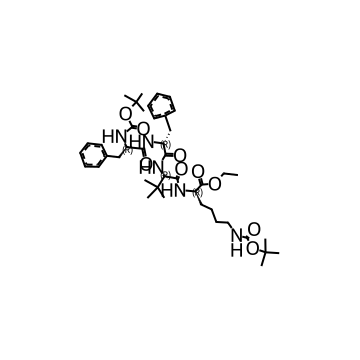 CCOC(=O)[C@@H](CCCCNC(=O)OC(C)(C)C)NC(=O)[C@H](NC(=O)[C@@H](Cc1ccccc1)NC(=O)[C@@H](Cc1ccccc1)NC(=O)OC(C)(C)C)C(C)(C)C